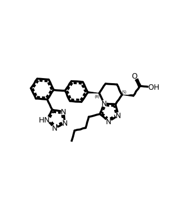 CCCCc1nnc2n1[C@@H](c1ccc(-c3ccccc3-c3nnn[nH]3)cc1)CC[C@H]2CC(=O)O